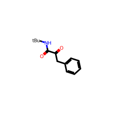 CC(C)(C)NC(=O)C(=O)Cc1ccccc1